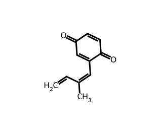 C=CC(C)=CC1=CC(=O)C=CC1=O